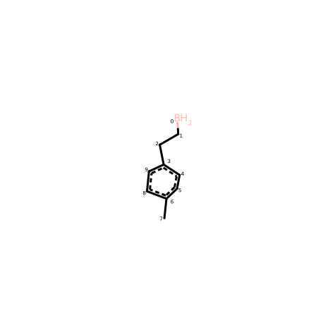 BCCc1ccc(C)cc1